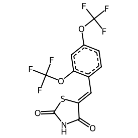 O=C1NC(=O)C(=Cc2ccc(OC(F)(F)F)cc2OC(F)(F)F)S1